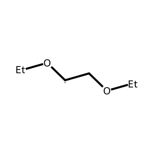 [CH2]COC[CH]OCC